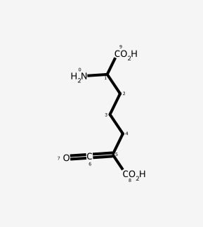 NC(CCCC(=C=O)C(=O)O)C(=O)O